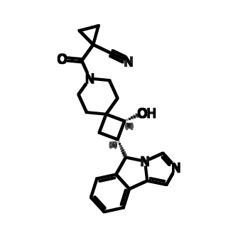 N#CC1(C(=O)N2CCC3(CC2)C[C@@H](C2c4ccccc4-c4cncn42)[C@H]3O)CC1